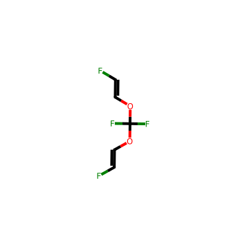 FC=COC(F)(F)OC=CF